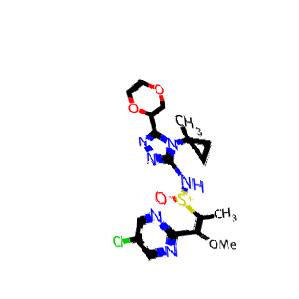 COC(c1ncc(Cl)cn1)C(C)[S+]([O-])Nc1nnc(C2COCCO2)n1C1(C)CC1